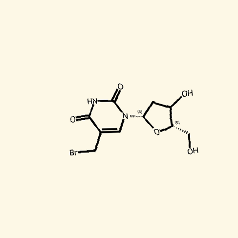 O=c1[nH]c(=O)n([C@@H]2CC(O)[C@H](CO)O2)cc1CBr